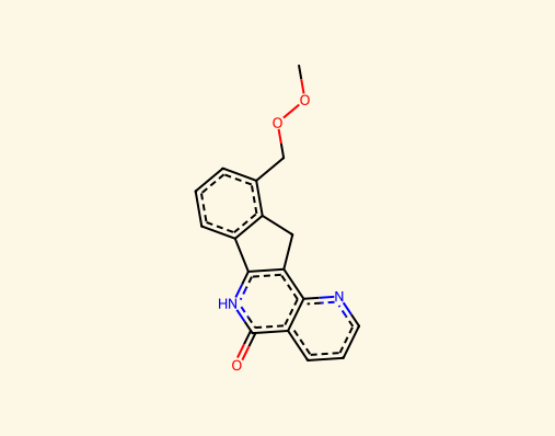 COOCc1cccc2c1Cc1c-2[nH]c(=O)c2cccnc12